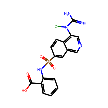 N=C(N)N(Cl)c1cncc2cc(S(=O)(=O)Nc3ccccc3C(=O)O)ccc12